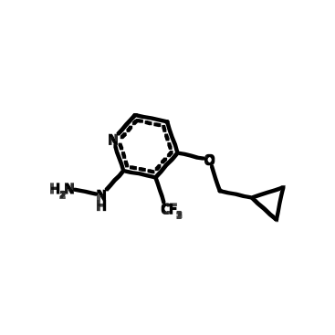 NNc1nccc(OCC2CC2)c1C(F)(F)F